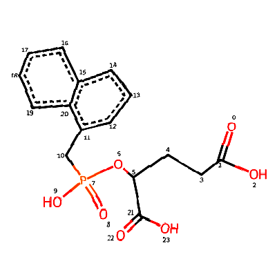 O=C(O)CCC(OP(=O)(O)Cc1cccc2ccccc12)C(=O)O